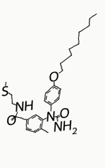 CCCCCCCCCOc1ccc(N(C(N)=O)c2cc(C(=O)NCCSC)ccc2C)cc1